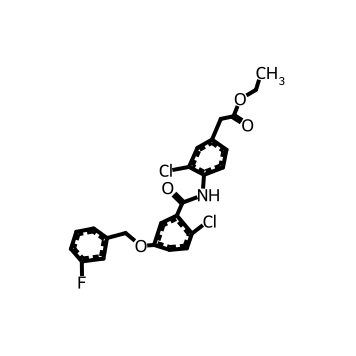 CCOC(=O)Cc1ccc(NC(=O)c2cc(OCc3cccc(F)c3)ccc2Cl)c(Cl)c1